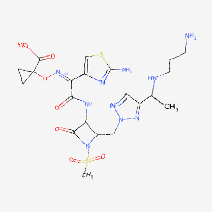 CC(NCCCN)c1cnn(CC2C(NC(=O)/C(=N\OC3(C(=O)O)CC3)c3csc(N)n3)C(=O)N2S(C)(=O)=O)n1